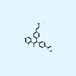 CC/C(=C(/c1ccc(/C=C/C(=O)O)cc1)c1ccc(-c2cncs2)cc1)c1ccc(F)cc1Cl